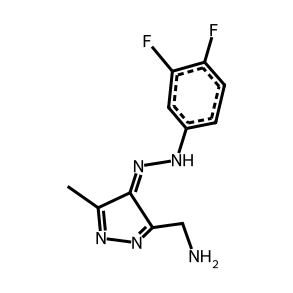 CC1=NN=C(CN)C1=NNc1ccc(F)c(F)c1